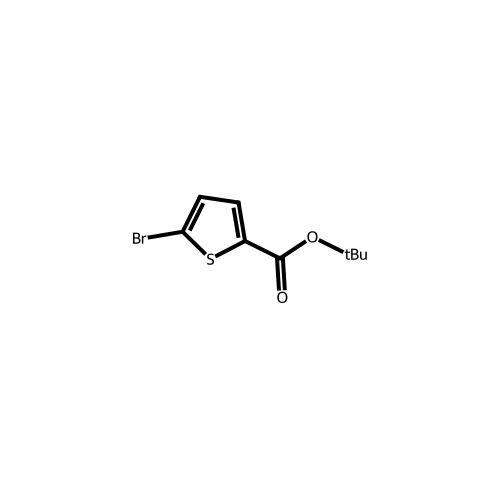 CC(C)(C)OC(=O)c1ccc(Br)s1